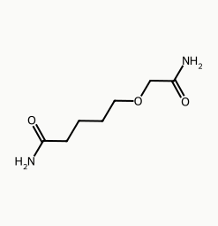 NC(=O)CCCCOCC(N)=O